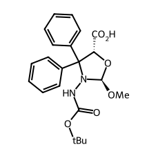 CO[C@@H]1O[C@@H](C(=O)O)C(c2ccccc2)(c2ccccc2)N1NC(=O)OC(C)(C)C